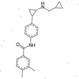 Cc1ccc(C(=O)Nc2ccc(C3CC3NCC3CC3)cc2)cc1C